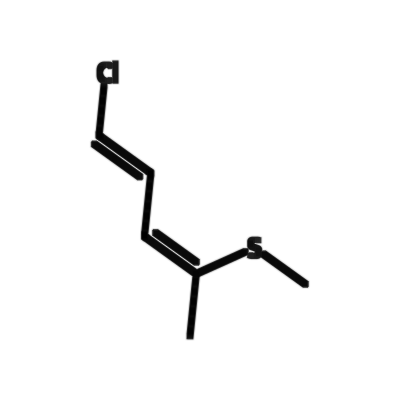 CS/C(C)=C\C=C\Cl